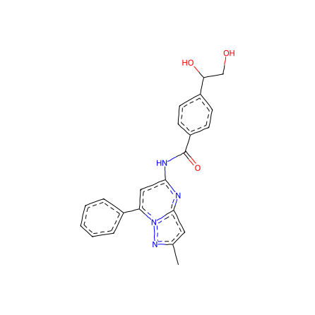 Cc1cc2nc(NC(=O)c3ccc(C(O)CO)cc3)cc(-c3ccccc3)n2n1